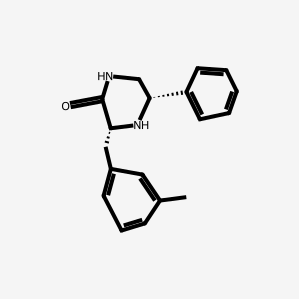 Cc1cccc(C[C@H]2N[C@@H](c3ccccc3)CNC2=O)c1